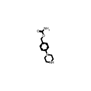 NC(=O)OCc1ccc(N2CCNCC2)cc1